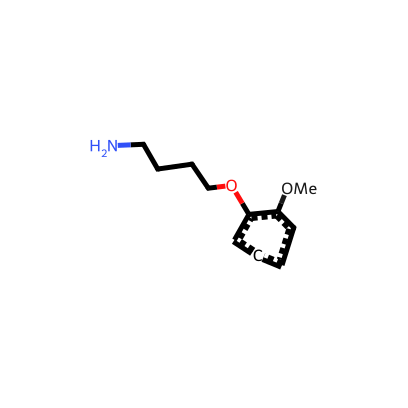 COc1ccccc1OCCCCN